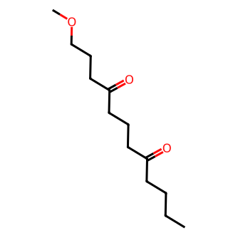 CCCCC(=O)CCCC(=O)CCCOC